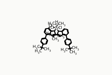 CC1=Cc2c(-c3ccc(C(C)(C)C)cc3)ccc(Cl)c2[CH]1[Zr]([Cl])([Cl])([CH]1C(C(C)C)=Cc2c(-c3ccc(C(C)(C)C)cc3)cccc21)[SiH](C)C